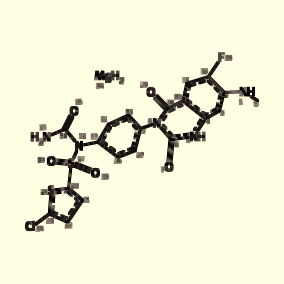 CNc1cc2[nH]c(=O)n(-c3ccc(N(C(N)=O)S(=O)(=O)c4ccc(Cl)s4)cc3)c(=O)c2cc1F.[MgH2]